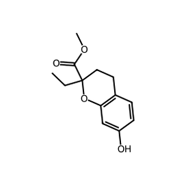 CCC1(C(=O)OC)CCc2ccc(O)cc2O1